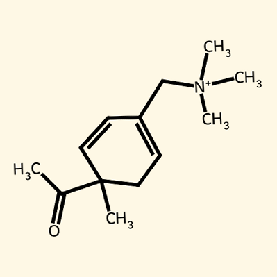 CC(=O)C1(C)C=CC(C[N+](C)(C)C)=CC1